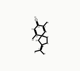 CC1=CC2(CCC(=C(C)C)C2)C(C)=CC1=O